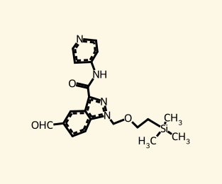 C[Si](C)(C)CCOCn1nc(C(=O)Nc2ccncc2)c2cc(C=O)ccc21